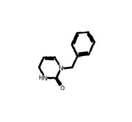 O=C1NCC=CN1Cc1ccccc1